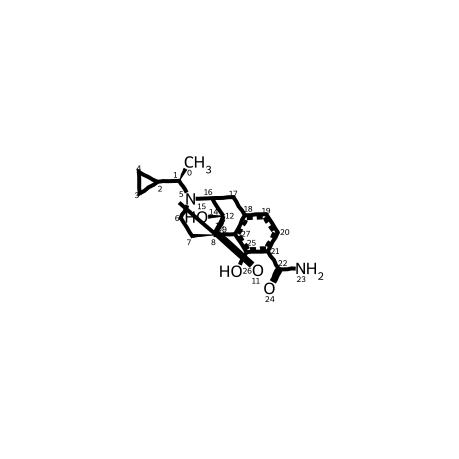 C[C@H](C1CC1)N1CC[C@]23CC(=O)CC[C@@]2(O)C1Cc1ccc(C(N)=O)c(O)c13